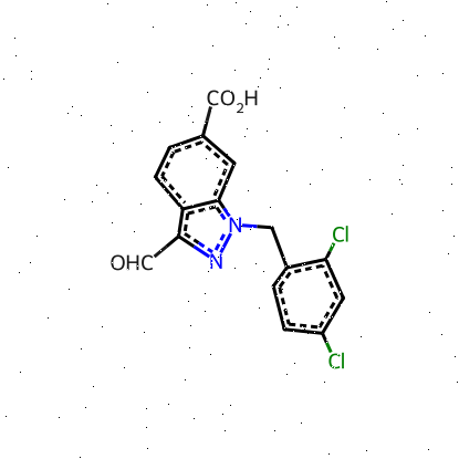 O=Cc1nn(Cc2ccc(Cl)cc2Cl)c2cc(C(=O)O)ccc12